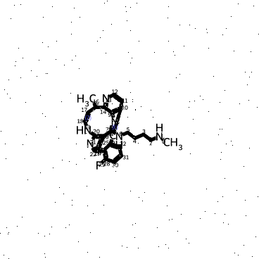 CNCCCCN/C1=N/c2c3ccnc2C(C)/C=C\Nc2nc(c(F)cc21)-c1c(F)cccc1C3